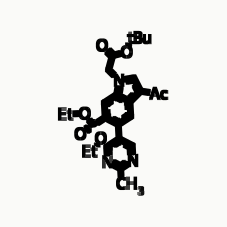 CCOP(=O)(OCC)c1cc2c(cc1-c1cnc(C)nc1)c(C(C)=O)cn2CC(=O)OC(C)(C)C